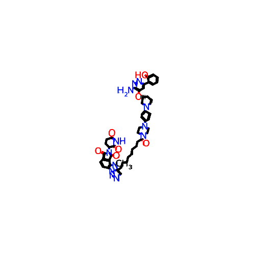 CN(c1cccc2c1C(=O)N(C1CCC(=O)NC1=O)C2=O)C1(CCCCCCCCC(=O)N2CCN(c3ccc(N4CCC[C@@H](Oc5cc(-c6ccccc6O)nnc5N)C4)cc3)CC2)C=NN=N1